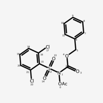 CC(=O)ON(C(=O)OCc1ccccc1)S(=O)(=O)c1c(Cl)cccc1Cl